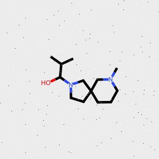 CC(C)C(O)N1CCC2(CCCN(C)C2)C1